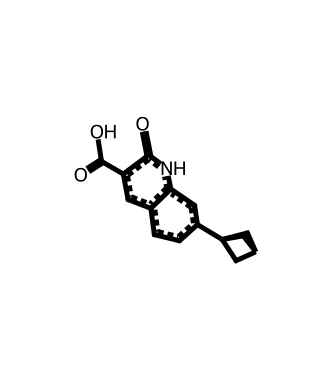 O=C(O)c1cc2ccc(C34CC(C3)C4)cc2[nH]c1=O